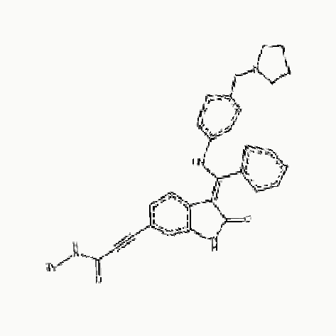 CC(C)NC(=O)C#Cc1ccc2c(c1)NC(=O)C2=C(Nc1ccc(CN2CCCC2)cc1)c1ccccc1